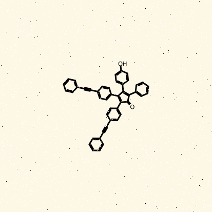 O=C1C(c2ccccc2)=C(c2ccc(O)cc2)C(c2ccc(C#Cc3ccccc3)cc2)=C1c1ccc(C#Cc2ccccc2)cc1